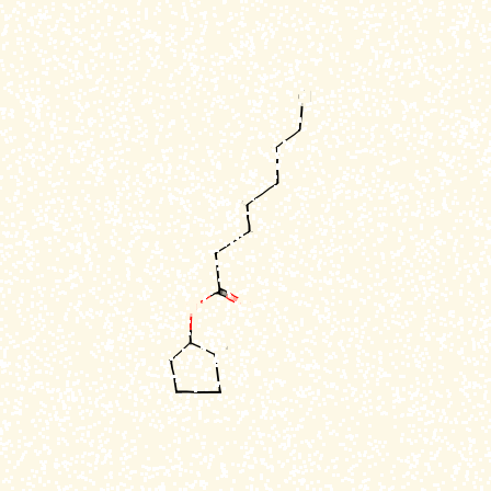 CCCCCCCC(=O)OC1CCCC1